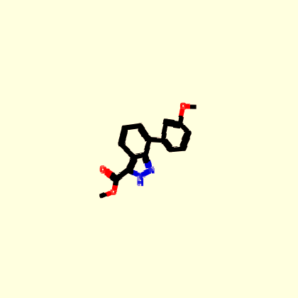 COC(=O)c1[nH]nc2c(-c3cccc(OC)c3)cccc12